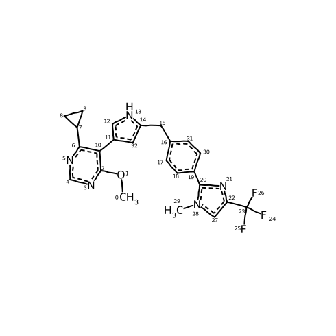 COc1ncnc(C2CC2)c1-c1c[nH]c(Cc2ccc(-c3nc(C(F)(F)F)cn3C)cc2)c1